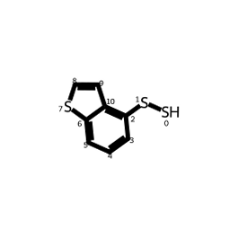 SSc1cccc2sccc12